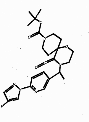 CC(c1ccc(-n2cc(F)cn2)nc1)N1CCOC2(CCN(C(=O)OC(C)(C)C)CC2)C1=C=O